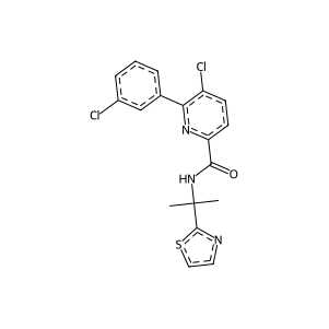 CC(C)(NC(=O)c1ccc(Cl)c(-c2cccc(Cl)c2)n1)c1nccs1